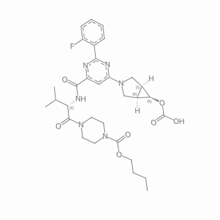 CCCCOC(=O)N1CCN(C(=O)[C@@H](NC(=O)c2cc(N3C[C@@H]4[C@H](C3)[C@@H]4OC(=O)O)nc(-c3ccccc3F)n2)C(C)C)CC1